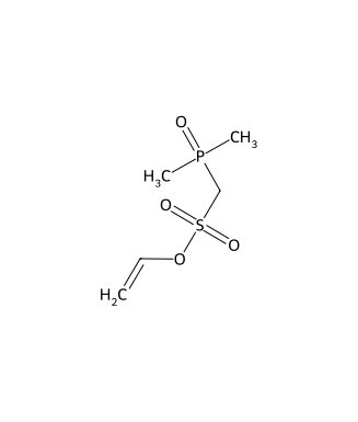 C=COS(=O)(=O)CP(C)(C)=O